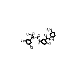 Nc1cccc(NC(=O)c2cc(NC(=O)[C@@H]3[C@@H](c4cc(Cl)cc(Cl)c4)C3(Cl)Cl)ccc2Cl)c1